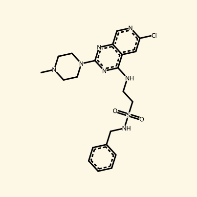 CN1CCN(c2nc(NCCS(=O)(=O)NCc3ccccc3)c3cc(Cl)ncc3n2)CC1